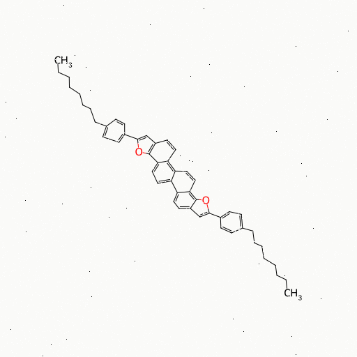 CCCCCCCCc1ccc(-c2cc3ccc4c5ccc6c(ccc7cc(-c8ccc(CCCCCCCC)cc8)oc76)c5ccc4c3o2)cc1